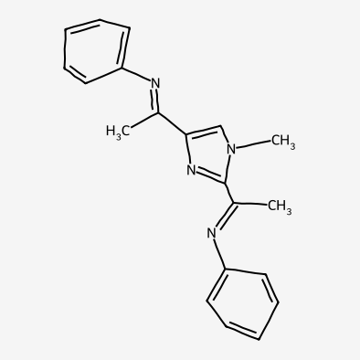 C/C(=N\c1ccccc1)c1cn(C)c(/C(C)=N/c2ccccc2)n1